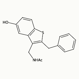 CC(=O)NCc1c(Cc2ccccc2)sc2ccc(O)cc12